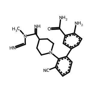 CN(C=N)C(=N)C1CCN(c2c(C#N)cccc2-c2ccc(N)c(C(N)=O)c2)CC1